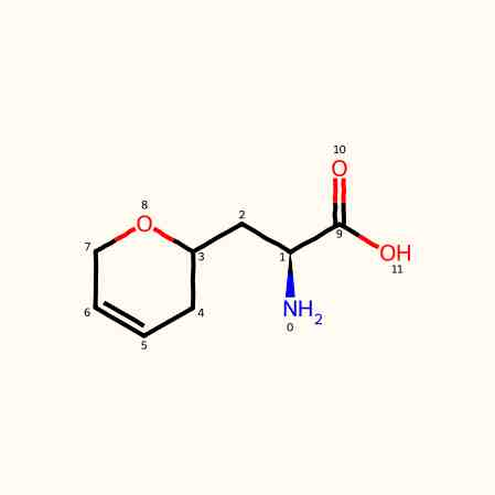 N[C@@H](CC1CC=CCO1)C(=O)O